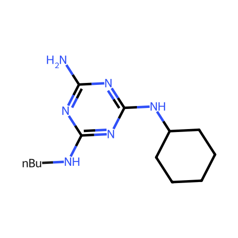 CCCCNc1nc(N)nc(NC2CCCCC2)n1